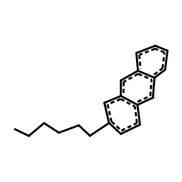 CCCCCCc1ccc2[c]c3ccccc3cc2c1